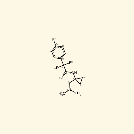 CN(C)CC1(NC(=O)C(F)(F)c2ccc(F)cc2)CC1